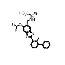 CC[C@H](NCc1cc2nc(-c3cccc(-c4ccccc4)c3C)oc2cc1OC(F)F)C(=O)O